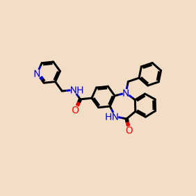 O=C(NCc1cccnc1)c1ccc2c(c1)NC(=O)c1ccccc1N2Cc1ccccc1